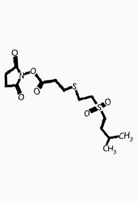 CC(C)CCS(=O)(=O)CCSCCC(=O)ON1C(=O)CCC1=O